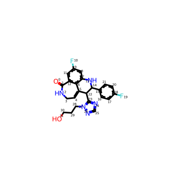 O=C1NCC=C2c3c(cc(F)cc31)NC(c1ccc(F)cc1)C2c1ncnn1CCCO